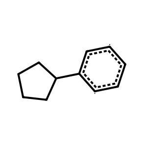 [c]1cc[c]c(C2CCCC2)c1